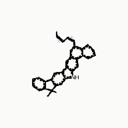 C/C=C\C=C/c1cc2cc3c(cc2c2ccccc12)[nH]c1cc2c(cc13)-c1ccccc1C2(C)C